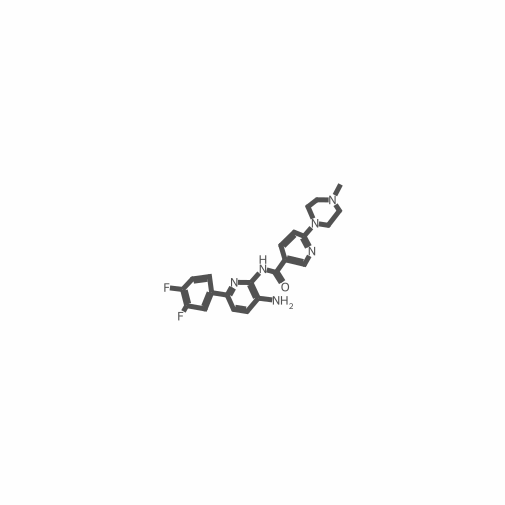 CN1CCN(c2ccc(C(=O)Nc3nc(-c4ccc(F)c(F)c4)ccc3N)cn2)CC1